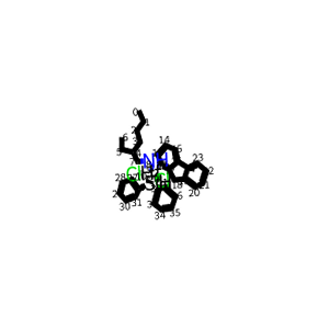 CCCCC(CC)C[NH][Hf]([Cl])([Cl])([c]1cccc2c1Cc1ccccc1-2)[SiH](c1ccccc1)c1ccccc1